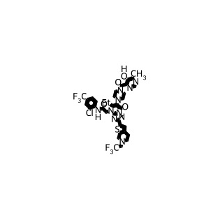 CCc1c(N2CCN(C(=O)c3ncnc(C)c3O)CC2)c(=O)n2nc(-c3cc4c(s3)CN(CC(F)(F)F)CC4)nc2n1CC(=O)Nc1ccc(C(F)(F)F)cc1Cl